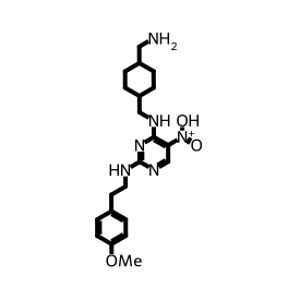 COc1ccc(CCNc2ncc([N+](=O)O)c(NCC3CCC(CN)CC3)n2)cc1